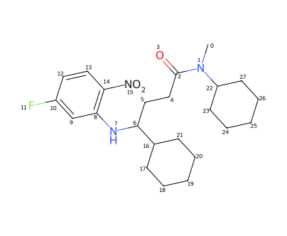 CN(C(=O)CCC(Nc1cc(F)ccc1[N+](=O)[O-])C1CCCCC1)C1CCCCC1